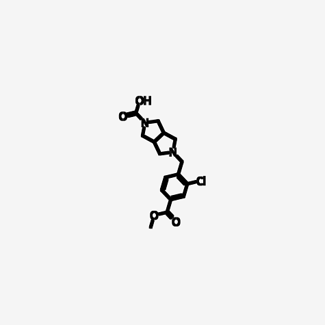 COC(=O)c1ccc(CN2CC3CN(C(=O)O)CC3C2)c(Cl)c1